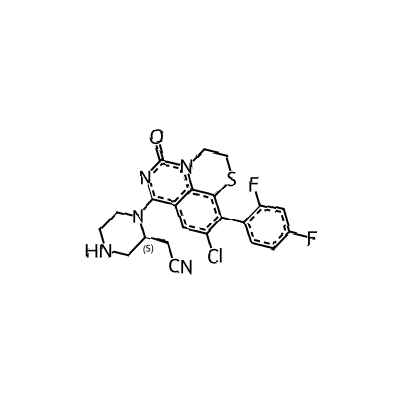 N#CC[C@H]1CNCCN1c1nc(=O)n2c3c(c(-c4ccc(F)cc4F)c(Cl)cc13)SCC2